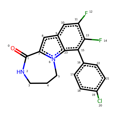 O=C1NCCCn2c1cc1cc(F)c(F)c(-c3ccc(Cl)cc3)c12